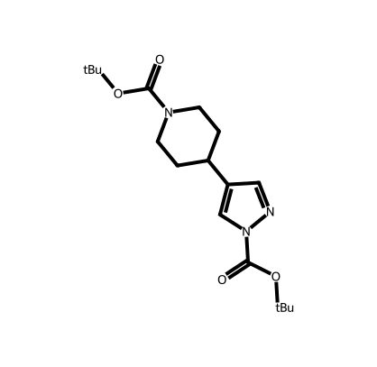 CC(C)(C)OC(=O)N1CCC(c2cnn(C(=O)OC(C)(C)C)c2)CC1